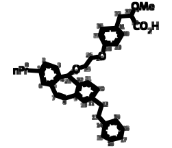 CCCc1ccc2c(c1)C=Cc1cc(CCc3ccccc3)ccc1C2OCCOc1ccc(CC(OC)C(=O)O)cc1